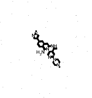 C=C(Nc1cc2cc(-c3cnn(C)c3)ccc2c(N)n1)c1ccnc(N2CCN(C)CC2)c1